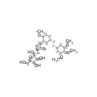 COc1ccc(CCc2cc(OC)c(OC)c(OC)c2)cc1OC(=O)NC[C@]1(O)O[C@H](CO)[C@@H](O)[C@@H]1O